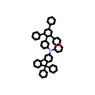 c1ccc(-c2cc(-c3ccccc3)c(-c3cccc(N(c4ccccc4)c4ccc5c(c4)-c4ccccc4C5(c4ccccc4)c4ccccc4)c3)c(-c3ccccc3)c2)cc1